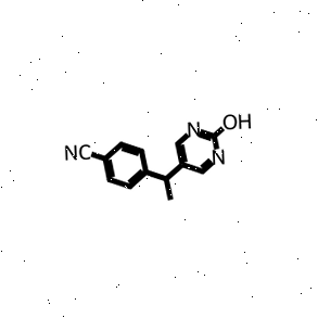 CC(c1ccc(C#N)cc1)c1cnc(O)nc1